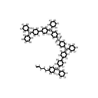 C=CCCCc1ccc(N(c2ccccc2)c2ccc(-c3ccc(N(c4ccccc4)c4ccc([Si](C)(C)c5ccc(N(c6ccccc6)c6ccc(-c7ccc(N(c8ccccc8)c8ccccc8)cc7)cc6)cc5)cc4)cc3)cc2)cc1